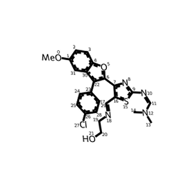 COc1ccc2oc(-c3nc(/N=C\N(C)C)sc3/C=N/CCO)c(-c3ccc(Cl)cc3)c2c1